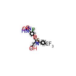 O=c1[nH]c(-c2ccc(OCc3sc(-c4ccc(C(F)(F)F)cc4)nc3CCCO)cc2F)no1